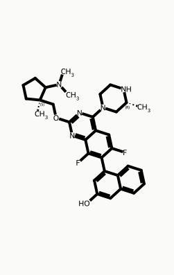 C[C@@H]1CN(c2nc(OC[C@@]3(C)CCCC3N(C)C)nc3c(F)c(-c4cc(O)cc5ccccc45)c(F)cc23)CCN1